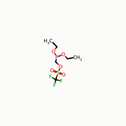 CCOP(COS(=O)(=O)C(F)(F)F)OCC